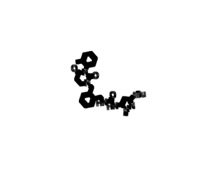 Cc1ccccc1N1C(=O)CCN(Cc2ccccc2CNC(=O)Nc2cc(C(C)(C)C)nn2C)C1=O